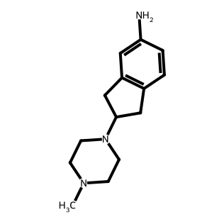 CN1CCN(C2Cc3ccc(N)cc3C2)CC1